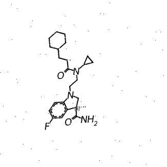 C[C@@]1(C(N)=O)CN(CCN(C(=O)[CH]CC2CCCCC2)C2CC2)c2ccc(F)cc21